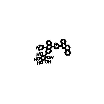 Oc1c(O)c(O)c(-c2ccc3c(-c4ccc(-c5cc6c7ccccc7ccc6c6ccccc56)cn4)c4ccccc4c(-c4ccncc4)c3c2)c(O)c1O